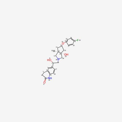 O=C1CCc2cc(C(O)CN3C[C@H]4C[C@H](Oc5ccc(F)cc5)C[C@@]4(O)C3)ccc2N1